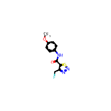 O=C(Nc1ccc(OC(F)(F)F)cc1)c1snnc1CF